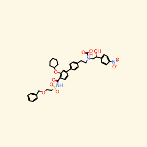 O=C(NS(=O)(=O)CCOCc1ccccc1)c1ccc(-c2ccc(CCN(C[C@@H](O)c3ccc([N+](=O)[O-])cc3)C(=O)O)cc2)cc1OC1CCCCC1